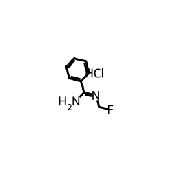 Cl.NC(=NCF)c1ccccc1